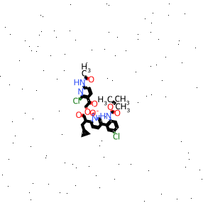 CC(=O)Nc1ccc(C(=O)COC(=O)C(CC2CC2)c2ccc(-c3cc(Cl)ccc3NC(=O)OC(C)(C)C)c[n+]2[O-])c(Cl)n1